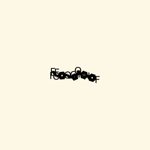 O=C(c1ccc(COc2ccc(OC(F)(F)F)cc2)o1)N1CCN(c2ccc(F)cc2)CC1